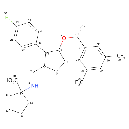 C[C@@H](OC1CCC(CNC2(C(=O)O)CCCC2)C1c1ccc(F)cc1)c1cc(C(F)(F)F)cc(C(F)(F)F)c1